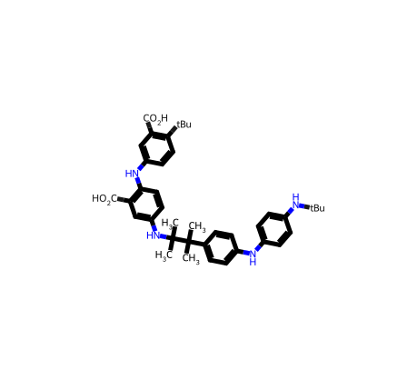 CC(C)(C)Nc1ccc(Nc2ccc(C(C)(C)C(C)(C)Nc3ccc(Nc4ccc(C(C)(C)C)c(C(=O)O)c4)c(C(=O)O)c3)cc2)cc1